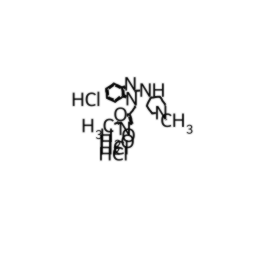 Cc1ncc(Cn2c(NC3CCN(C)CC3)nc3ccccc32)o1.Cl.Cl.Cl.O.O